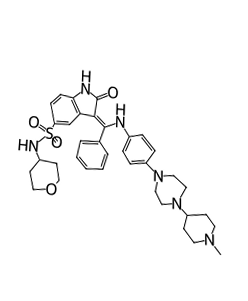 CN1CCC(N2CCN(c3ccc(N/C(=C4\C(=O)Nc5ccc(S(=O)(=O)NC6CCOCC6)cc54)c4ccccc4)cc3)CC2)CC1